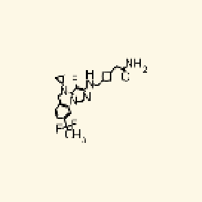 CC(F)(F)c1ccc(CN(c2ncnc(NCC3CC(CC(N)=O)C3)c2F)C2CC2)cc1